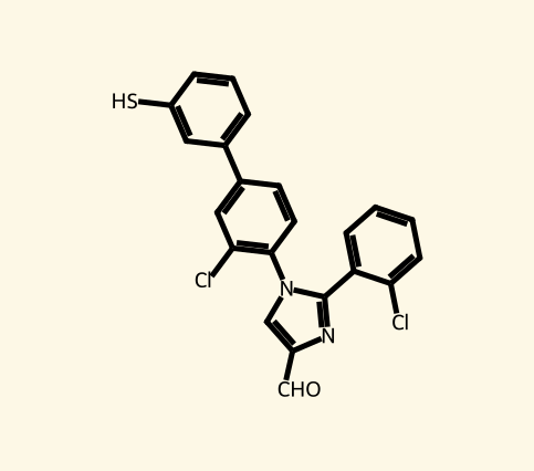 O=Cc1cn(-c2ccc(-c3cccc(S)c3)cc2Cl)c(-c2ccccc2Cl)n1